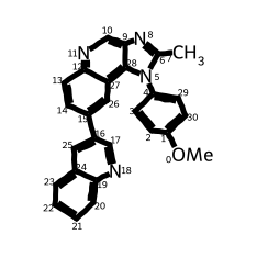 COc1ccc(-n2c(C)nc3cnc4ccc(-c5cnc6ccccc6c5)cc4c32)cc1